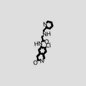 O=C1C=c2cc(NC(=O)CNCc3ccccn3)c(Cl)cc2=C[N]1